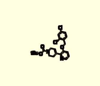 CC(C)(C)OC(=O)N1CC=C(c2ncccc2OCc2ccc(Cl)cc2Cl)CC1